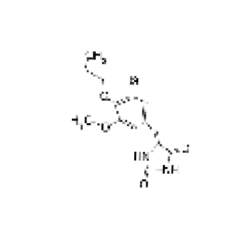 CCCOc1c(Br)cc(/C=C2\NC(=O)NC2=O)cc1OC